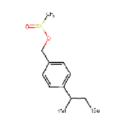 CC(C)(C)CC(c1ccc(COS(=O)C(F)(F)F)cc1)C(C)(C)C